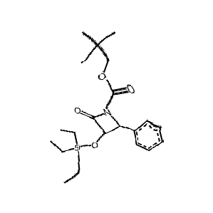 CC[Si](CC)(CC)OC1C(=O)N(C(=O)OCC(C)(C)C)C1c1ccccc1